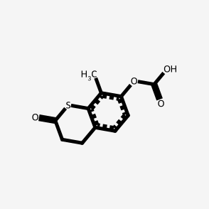 Cc1c(OC(=O)O)ccc2c1SC(=O)CC2